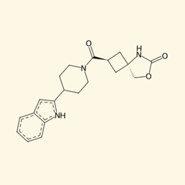 O=C1N[C@]2(CO1)C[C@H](C(=O)N1CCC(c3cc4ccccc4[nH]3)CC1)C2